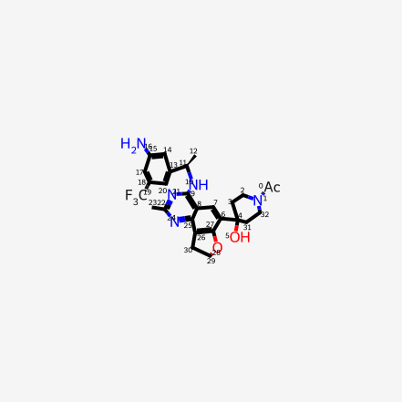 CC(=O)N1CCC(O)(c2cc3c(N[C@H](C)c4cc(N)cc(C(F)(F)F)c4)nc(C)nc3c3c2OCC3)CC1